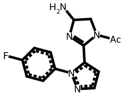 CC(=O)N1CC(N)N=C1c1ccnn1-c1ccc(F)cc1